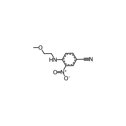 COCCNc1ccc(C#N)cc1[N+](=O)[O-]